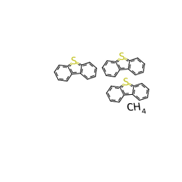 C.c1ccc2c(c1)sc1ccccc12.c1ccc2c(c1)sc1ccccc12.c1ccc2c(c1)sc1ccccc12